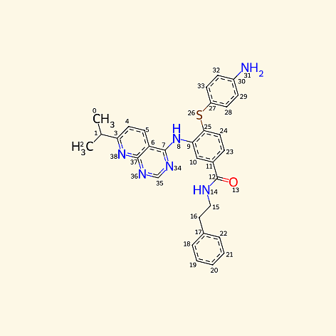 CC(C)c1ccc2c(Nc3cc(C(=O)NCCc4ccccc4)ccc3Sc3ccc(N)cc3)ncnc2n1